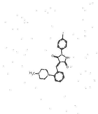 CN1CCN(c2ccccc2/C=C2\C(=O)NN(c3ccc(I)cc3)C2=O)CC1